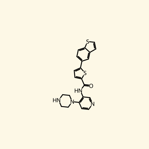 O=C(Nc1cnccc1N1CCNCC1)c1ccc(-c2ccc3sccc3c2)s1